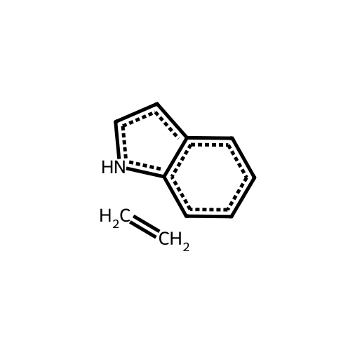 C=C.c1ccc2[nH]ccc2c1